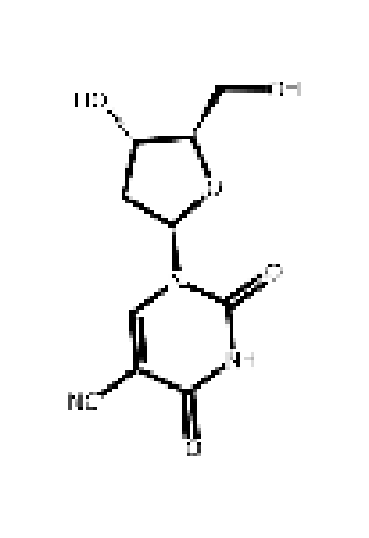 N#Cc1cn([C@H]2C[C@H](O)[C@@H](CO)O2)c(=O)[nH]c1=O